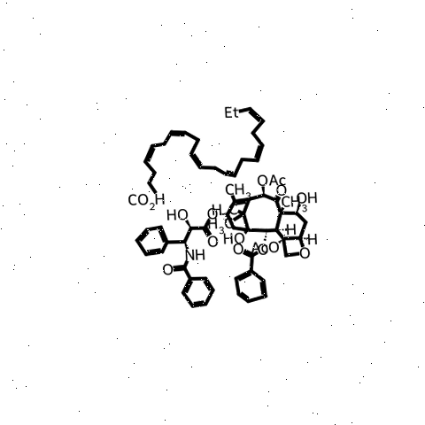 CC(=O)O[C@H]1C(=O)[C@@]2(C)[C@H]([C@H](OC(=O)c3ccccc3)[C@]3(O)C[C@H](OC(=O)[C@H](O)[C@@H](NC(=O)c4ccccc4)c4ccccc4)C(C)=C1C3(C)C)[C@]1(OC(C)=O)CO[C@@H]1C[C@@H]2O.CC/C=C\C/C=C\C/C=C\C/C=C\C/C=C\C/C=C\CCC(=O)O